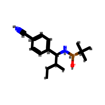 CCC(C)[C@H](N[S+]([O-])C(C)(C)C)c1ccc(C#N)cc1